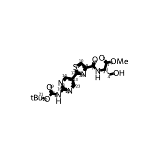 COC(=O)[C@H](CO)NC(=O)c1csc(-c2cnc(NC(=O)OC(C)(C)C)nc2)n1